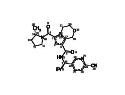 CC(C)[C@@H](NC(=O)c1cc(C(=O)N2CCC[C@@H]2C)n2c1COCC2)c1ccc(C#N)nc1